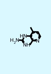 Cc1ccnc(C)c1NC(=N)N